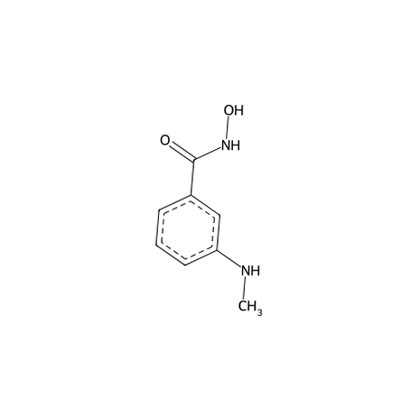 CNc1cccc(C(=O)NO)c1